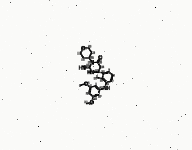 COc1cc(Nc2cccc3c2C[C@]32CC(=O)N(C3CCOCC3)C(=N)N2)cc(OC)c1